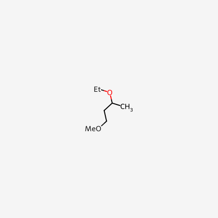 CCOC(C)CCOC